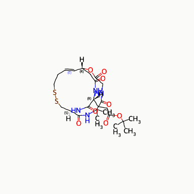 CC(C)(C)OC(=O)CC[C@H]1NC(=O)C[C@@H]2/C=C/CCSSC[C@@H](NC1=O)C(=O)NC(C)(C)C(=O)NCC(=O)O2